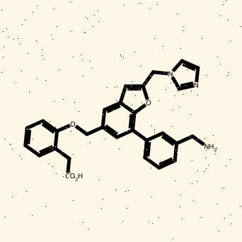 NCc1cccc(-c2cc(COc3ccccc3CC(=O)O)cc3cc(Cn4ccnc4)oc23)c1